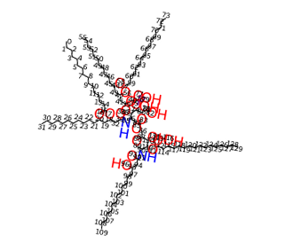 CCCCCCCCCCCCCCCC(=O)O[C@H](CCCCCCCCCCCCC)CC(=O)N[C@H]1C(OC(=O)C[C@@H](CCCCCCCCCCCCC)OC(=O)CCCCCCCCCCCCCCC)[C@H](OP(=O)(O)O)C(CO)O[C@H]1OCC1OCC(NC(=O)C[C@H](O)CCCCCCCCCCCCC)[C@@H](OC(=O)C[C@H](O)CCCCCCCCCCCCC)[C@@H]1O